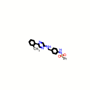 Cc1ccccc1-c1cnc(NCc2ccc(NS(=O)(=O)C(C)C)cc2)cn1